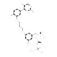 CC(C)(C)OC(=O)N=S(C)(=O)Cc1cc(N)cc(OCCCOc2cc(-c3nc(Cl)ncc3F)ccc2F)c1